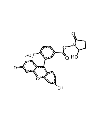 O=C(ON1C(=O)CCC1O)c1ccc(C(=O)O)c(-c2c3ccc(=O)cc-3oc3cc(O)ccc23)c1